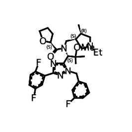 CCN1C[C@@H](CN(C(=O)[C@@H]2CCCO2)[C@@H](c2nc(-c3cc(F)ccc3F)nn2Cc2cccc(F)c2)C(C)(C)OC)[C@@H](C)C1